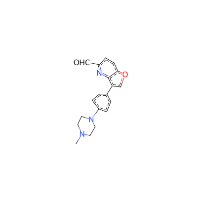 CN1CCN(c2ccc(-c3coc4ccc(C=O)nc34)cc2)CC1